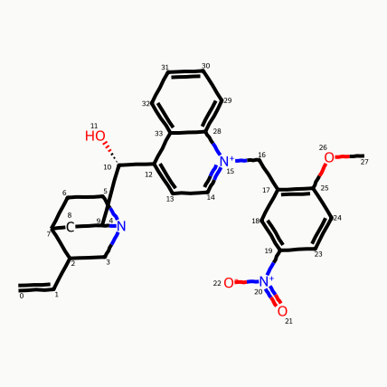 C=CC1CN2CCC1CC2[C@H](O)c1cc[n+](Cc2cc([N+](=O)[O-])ccc2OC)c2ccccc12